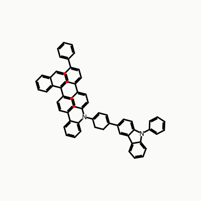 C1=C(c2ccc3c(c2)c2ccccc2n3-c2ccccc2)CCC(N(c2ccc(-c3ccc(-c4ccccc4)cc3)cc2)c2ccccc2-c2ccc(-c3cccc4ccccc34)cc2)=C1